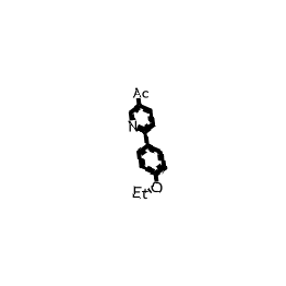 CCOc1ccc(-c2ccc(C(C)=O)cn2)cc1